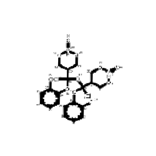 O=[PH]1OCC(C(Cl)(Oc2ccccc2Cl)OC(Cl)(Oc2ccccc2Cl)C2CO[PH](=O)OC2)CO1